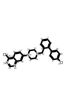 Clc1ccc(-c2ccccc2CN2CCN(c3ccc4c(Cl)ncnc4c3)CC2)cc1